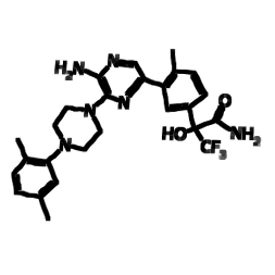 Cc1ccc(C)c(N2CCN(c3nc(-c4cc(C(O)(C(N)=O)C(F)(F)F)ccc4C)cnc3N)CC2)c1